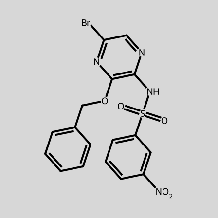 O=[N+]([O-])c1cccc(S(=O)(=O)Nc2ncc(Br)nc2OCc2ccccc2)c1